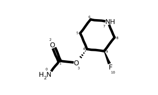 NC(=O)O[C@@H]1CCNC[C@H]1F